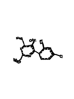 CSc1nc(SC)c(OC(C)=O)c(-c2ccc(Cl)cc2Cl)n1